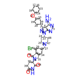 Nc1ncnc2c1c(-c1ccc(Oc3ccccc3)cc1)nn2C1CCN(Cc2cc(Br)c3c(c2)CN(C2CCC(=O)NC2=O)C3=O)CC1